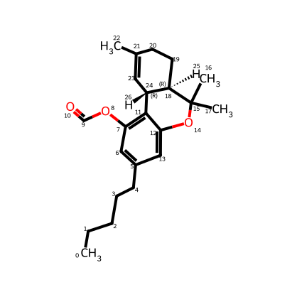 CCCCCc1cc(OC=O)c2c(c1)OC(C)(C)[C@@H]1CCC(C)=C[C@@H]21